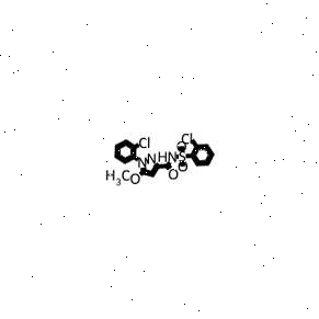 COc1cc(C(=O)NS(=O)(=O)c2ccccc2Cl)nn1-c1ccccc1Cl